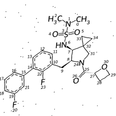 CN(C)S(=O)(=O)N[C@@H]1[C@H](Cc2cccc(-c3cccc(F)c3)c2F)N(C(=O)[C@H]2CCO2)CC12CC2